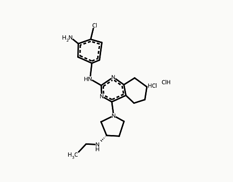 CCN[C@H]1CCN(c2nc(Nc3ccc(Cl)c(N)c3)nc3c2CCCC3)C1.Cl.Cl